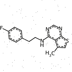 Cc1csc2ncnc(NCCc3ccc(F)cc3)c12